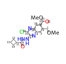 COCc1cc2nc(NNC(=O)C3CCC3)c(Cl)nc2cc1C(=O)OC